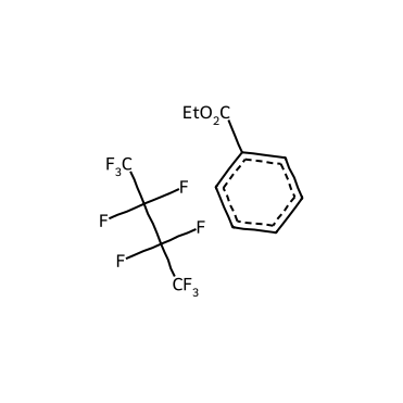 CCOC(=O)c1ccccc1.FC(F)(F)C(F)(F)C(F)(F)C(F)(F)F